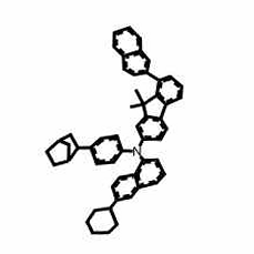 CC1(C)c2cc(N(c3ccc(C4CC5CCC4C5)cc3)c3cccc4cc(C5CCCCC5)ccc34)ccc2-c2cccc(-c3ccc4ccccc4c3)c21